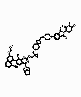 C#Cc1cccc2cc(OCOC)cc(-c3ncc4c(N5CC6CCC(C6)C5)nc(OCC5(CN6CCC7(CC6)CC(CN6CCN(c8ccc9c(c8)C(=O)N(C8CCC(=O)NC8=O)C9=O)CC6)C7)CC5)nc4c3F)c12